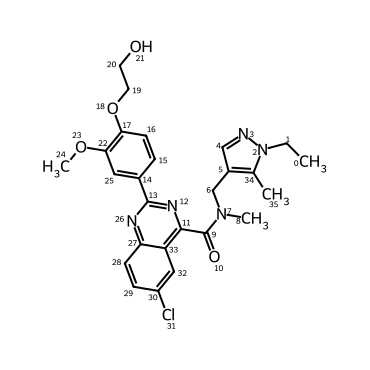 CCn1ncc(CN(C)C(=O)c2nc(-c3ccc(OCCO)c(OC)c3)nc3ccc(Cl)cc23)c1C